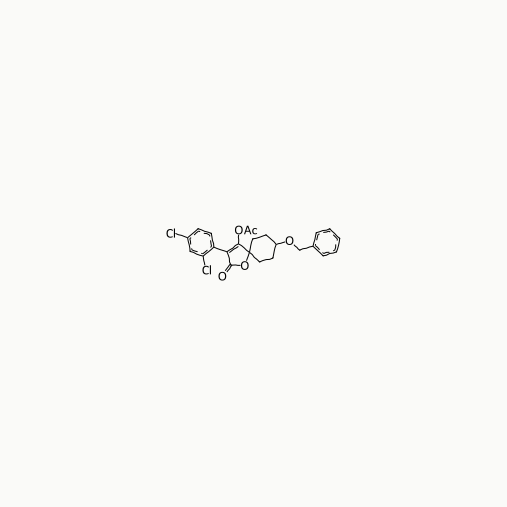 CC(=O)OC1=C(c2ccc(Cl)cc2Cl)C(=O)OC12CCC(OCc1ccccc1)CC2